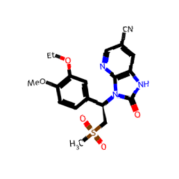 CCOc1cc([C@H](CS(C)(=O)=O)n2c(=O)[nH]c3cc(C#N)cnc32)ccc1OC